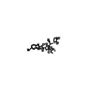 CC(C)(C)CC(NC(=O)c1nc2ccc(Br)cc2[nH]1)C(=O)NC(C#N)C[C@@H]1CCNC1=O